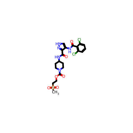 CS(=O)(=O)CCOC(=O)N1CCC(NC(=O)c2n[nH]cc2NC(=O)c2c(Cl)cccc2Cl)CC1